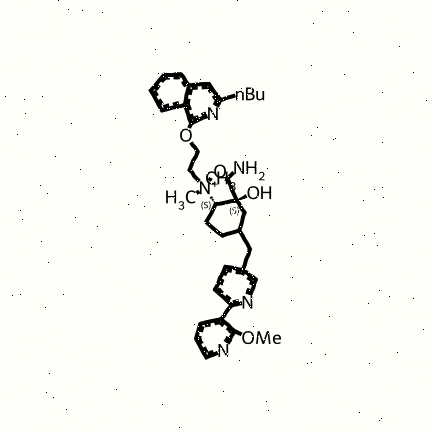 CCCCc1cc2ccccc2c(OCC[N+](C)(C)[C@H]2CCC(Cc3ccc(-c4cccnc4OC)nc3)C[C@@]2(O)C(N)=O)n1